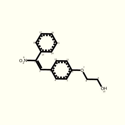 O=[N+]([O-])C(=Cc1ccc(OCCO)cc1)c1ccccc1